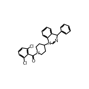 O=C(c1c(Cl)cccc1Cl)N1CCC(N2C=NC(c3ccccc3)c3ccccc32)CC1